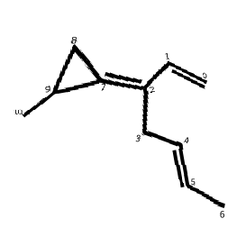 C=CC(CC=CC)=C1CC1C